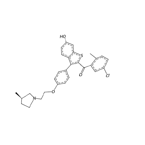 Cc1ccc(Cl)cc1C(=O)c1sc2cc(O)ccc2c1-c1ccc(OCCN2CC[C@@H](C)C2)cc1